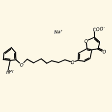 CCCc1ccccc1OCCCCCCCOc1ccc2c(=O)cc(C(=O)[O-])oc2c1.[Na+]